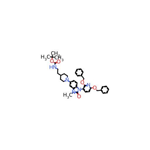 Cn1c(=O)n(-c2ccc(OCc3ccccc3)nc2OCc2ccccc2)c2ccc(N3CCC(CCNC(=O)OC(C)(C)C)CC3)cc21